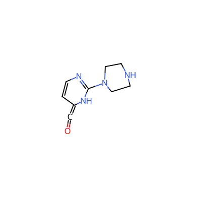 O=C=C1C=CN=C(N2CCNCC2)N1